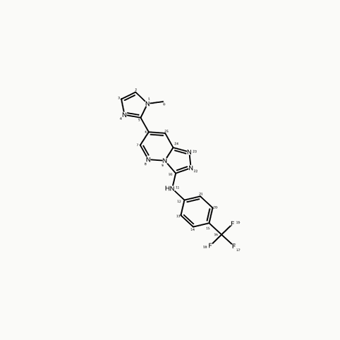 Cn1ccnc1-c1cnn2c(Nc3ccc(C(F)(F)F)cc3)nnc2c1